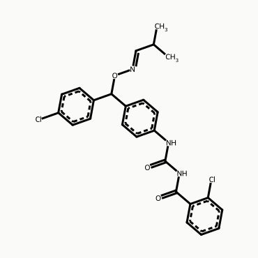 CC(C)C=NOC(c1ccc(Cl)cc1)c1ccc(NC(=O)NC(=O)c2ccccc2Cl)cc1